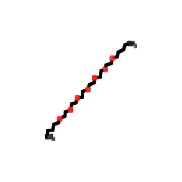 CCCCCOCCOCCOCCOCCOCCOCCOCCCCC